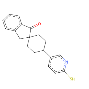 O=C1c2ccccc2CC12CCC(c1ccc(S)nc1)CC2